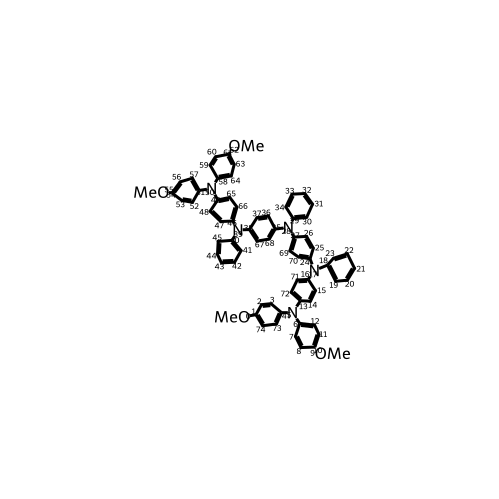 COc1ccc(N(c2ccc(OC)cc2)c2ccc(N(c3ccccc3)c3ccc(N(c4ccccc4)c4ccc(N(c5ccccc5)c5ccc(N(c6ccc(OC)cc6)c6ccc(OC)cc6)cc5)cc4)cc3)cc2)cc1